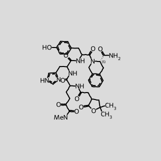 CNC(=O)C(=O)CCC(NC(=O)CC1CC(C)(C)OC1=O)C(=O)NC(Cc1c[nH]cn1)C(=O)NC(Cc1ccc(O)cc1)C(=O)N1Cc2ccccc2C[C@H]1C(N)=O